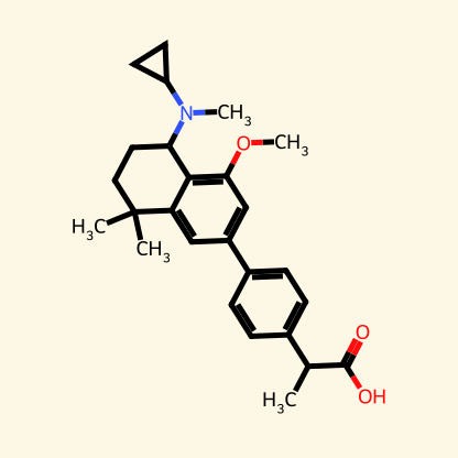 COc1cc(-c2ccc(C(C)C(=O)O)cc2)cc2c1C(N(C)C1CC1)CCC2(C)C